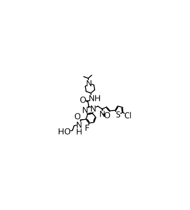 CC(C)N1CCC(NC(=O)c2nc3c(C(=O)NCCO)c(F)ccc3n2Cc2cc(-c3ccc(Cl)s3)on2)CC1